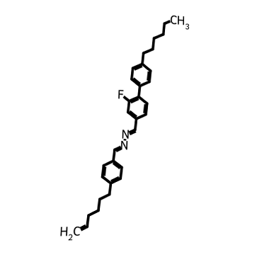 C=CCCCCc1ccc(C=NN=Cc2ccc(-c3ccc(CCCCCC)cc3)c(F)c2)cc1